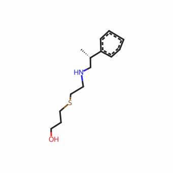 C[C@@H](CNCCSCCCO)c1ccccc1